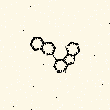 c1ccc2nc(-c3ccnc4oc5cncnc5c34)ccc2c1